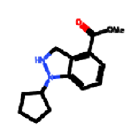 COC(=O)c1cccc2c1CNN2C1CCCC1